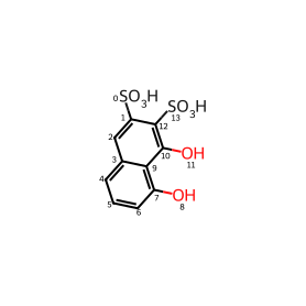 O=S(=O)(O)c1cc2cccc(O)c2c(O)c1S(=O)(=O)O